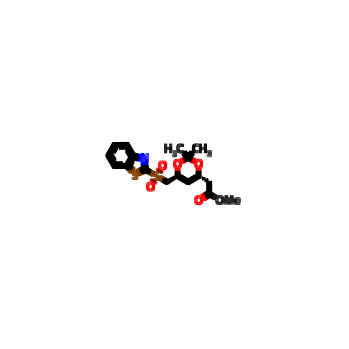 COC(=O)C[C@@H]1C[C@@H](CS(=O)(=O)c2nc3ccccc3s2)OC(C)(C)O1